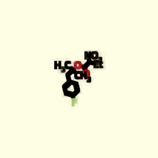 CCC(C(=O)OC(C)(C)Cc1ccc(F)cc1)[N+](=O)[O-]